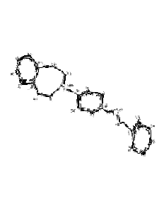 c1ccc(COc2ccc(N3CCc4ccccc4CC3)cc2)cc1